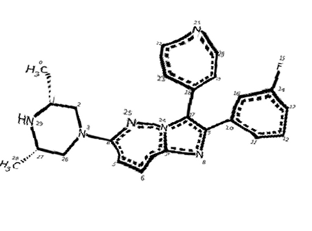 C[C@@H]1CN(c2ccc3nc(-c4cccc(F)c4)c(-c4ccncc4)n3n2)C[C@H](C)N1